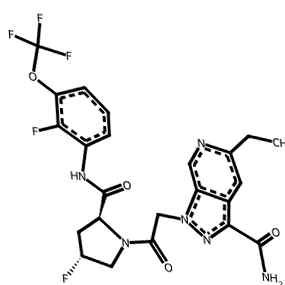 CCc1cc2c(C(N)=O)nn(CC(=O)N3C[C@H](F)C[C@H]3C(=O)Nc3cccc(OC(F)(F)F)c3F)c2cn1